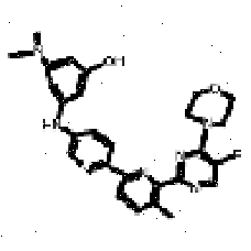 Cc1ccc(-c2ccc(Nc3cc(O)cc(N(C)C)c3)cn2)nc1-c1ncc(F)c(N2CCOCC2)n1